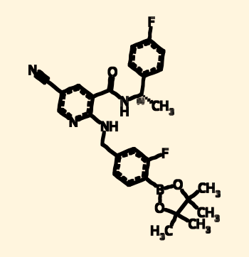 C[C@H](NC(=O)c1cc(C#N)cnc1NCc1ccc(B2OC(C)(C)C(C)(C)O2)c(F)c1)c1ccc(F)cc1